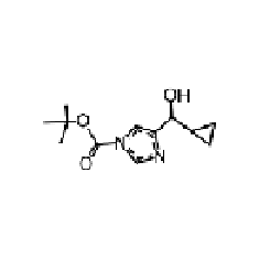 CC(C)(C)OC(=O)n1cnc(C(O)C2CC2)c1